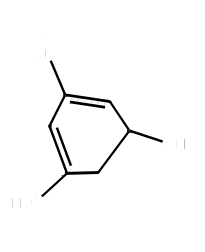 CC1=CC(Br)=CC(C)C1